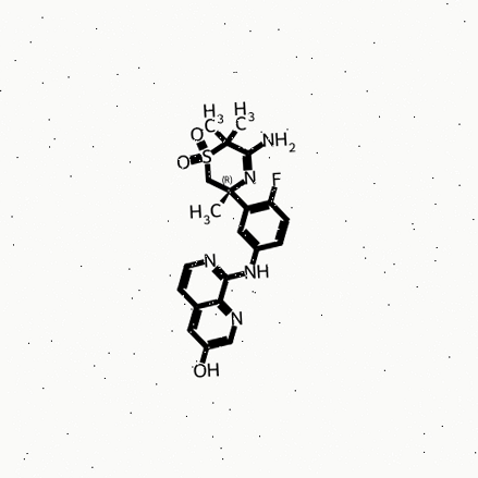 CC1(C)C(N)=N[C@](C)(c2cc(Nc3nccc4cc(O)cnc34)ccc2F)CS1(=O)=O